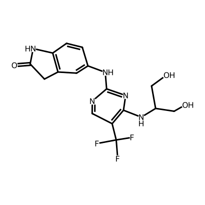 O=C1Cc2cc(Nc3ncc(C(F)(F)F)c(NC(CO)CO)n3)ccc2N1